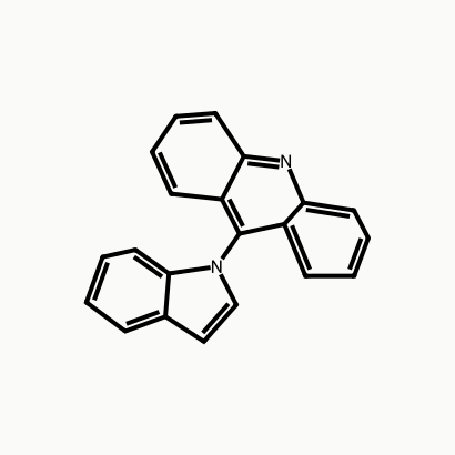 c1ccc2c(c1)ccn2-c1c2ccccc2nc2ccccc12